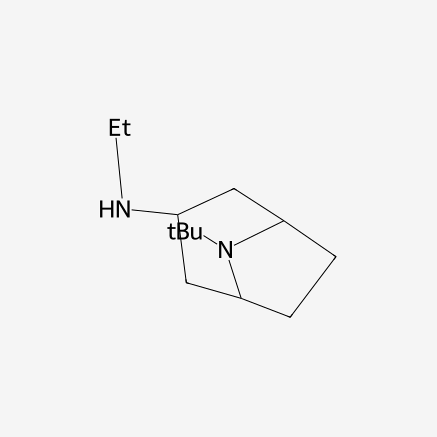 CCNC1CC2CCC(C1)N2C(C)(C)C